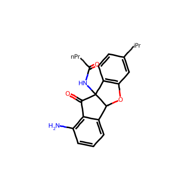 CCCC(=O)NC12[C](Oc3cc(C(C)C)ccc31)c1cccc(N)c1C2=O